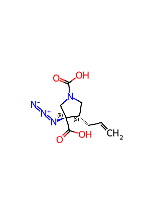 C=CC[C@H]1CN(C(=O)O)C[C@@]1(N=[N+]=[N-])C(=O)O